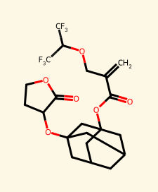 C=C(COC(C(F)(F)F)C(F)(F)F)C(=O)OC12CC3CC(C1)CC(OC1CCOC1=O)(C3)C2